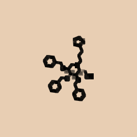 OC[C@@H]1[C@@H](OCc2ccccc2)[C@H](OCc2ccccc2)[C@@H](OCc2ccccc2)CN1CCCc1cccs1